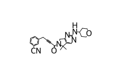 CC1(C)c2cnc(NC3CCOCC3)nc2CN1C(=O)C#CCc1cccc(C#N)c1